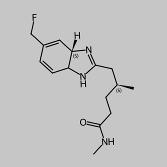 CNC(=O)CC[C@H](C)CC1=N[C@H]2C=C(CF)C=CC2N1